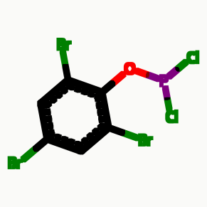 ClP(Cl)Oc1c(Br)cc(Br)cc1Br